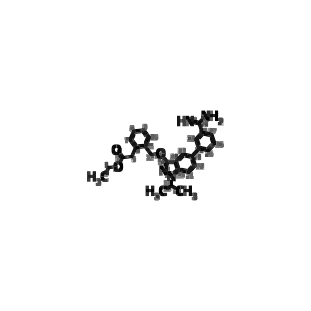 CCOC(=O)Cc1ccccc1COc1nn(C(C)C)c2ccc(-c3cccc(C(=N)N)c3)cc12